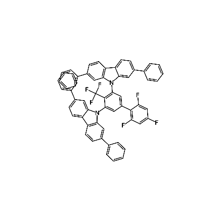 Fc1cc(F)c(-c2cc(-n3c4cc(-c5ccccc5)ccc4c4ccc(-c5ccccc5)cc43)c(C(F)(F)F)c(-n3c4cc(-c5ccccc5)ccc4c4ccc(-c5ccccc5)cc43)c2)c(F)c1